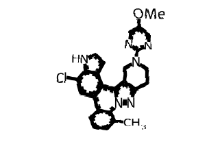 COc1cnc(N2CCc3nn4c5c(C)cccc5c5cc(Cl)c6[nH]ccc6c5c4c3C2)nc1